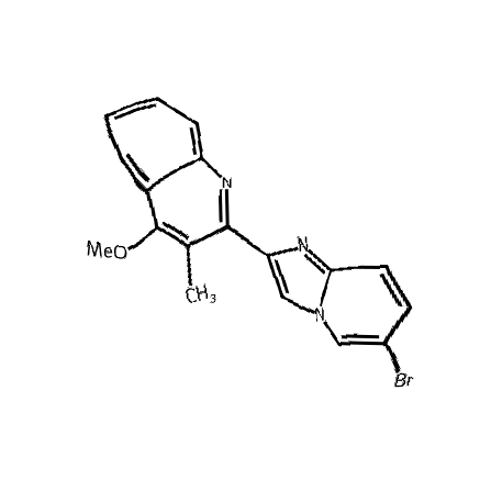 COc1c(C)c(-c2cn3cc(Br)ccc3n2)nc2ccccc12